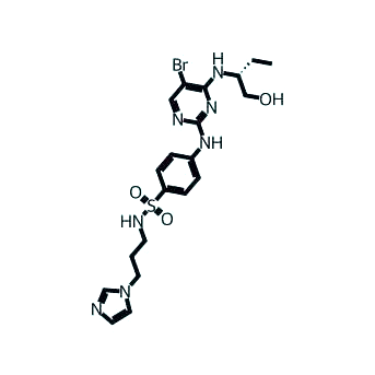 CC[C@H](CO)Nc1nc(Nc2ccc(S(=O)(=O)NCCCn3ccnc3)cc2)ncc1Br